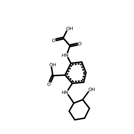 O=C(O)C(=O)Nc1cccc(NC2CCCCC2O)c1C(=O)O